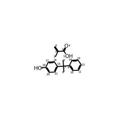 C=C(C)C(=O)O.CC(C)(c1ccccc1)c1ccc(O)cc1